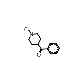 O=C(c1ccccc1)C1CCN(Cl)CC1